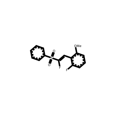 COc1cccc(F)c1/C=C(\F)S(=O)(=O)c1ccccc1